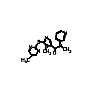 Cc1cnc(Sc2ncc(C(=O)N(C)c3cccnc3)n2C)nc1